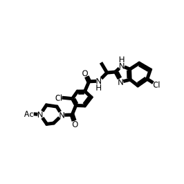 CC(=O)N1CCN(C(=O)c2ccc(C(=O)NC(C)c3nc4cc(Cl)ccc4[nH]3)cc2Cl)CC1